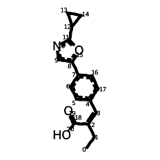 CCC(=Cc1ccc(-c2cnc(C3CC3)o2)cc1)C(=O)O